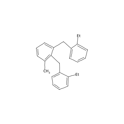 CCc1ccccc1Cc1cccc(C)c1Cc1ccccc1CC